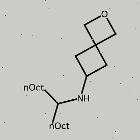 CCCCCCCCC(CCCCCCCC)NC1CC2(COC2)C1